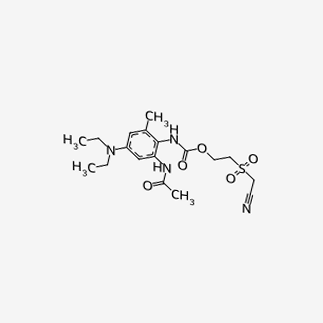 CCN(CC)c1cc(C)c(NC(=O)OCCS(=O)(=O)CC#N)c(NC(C)=O)c1